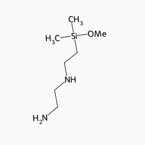 CO[Si](C)(C)CCNCCN